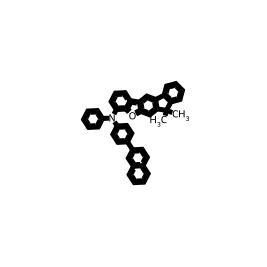 CC1(C)c2ccccc2-c2cc3c(cc21)oc1c(N(c2ccccc2)c2ccc(-c4ccc5ccccc5c4)cc2)cccc13